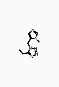 CCc1nnnn1Cc1cncn1C